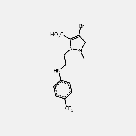 CN1CC(Br)=C(C(=O)O)N1CCNc1ccc(C(F)(F)F)cc1